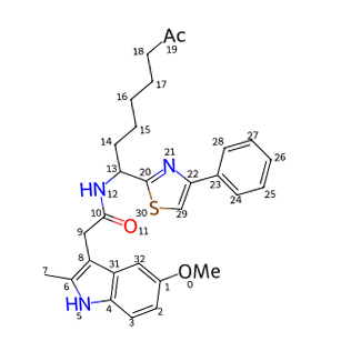 COc1ccc2[nH]c(C)c(CC(=O)NC(CCCCCC(C)=O)c3nc(-c4ccccc4)cs3)c2c1